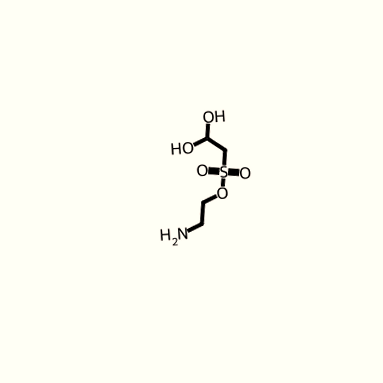 NCCOS(=O)(=O)CC(O)O